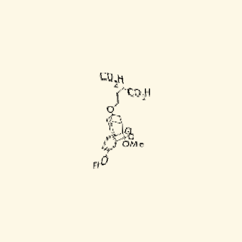 CCOc1cccc(C2(OC)OOC23C2CC4CC3CC(OCCC(C(=O)O)C(=O)O)(C4)C2)c1